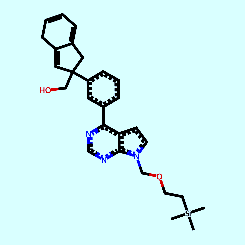 C[Si](C)(C)CCOCn1ccc2c(-c3cccc(C4(CO)C=C5CC=CC=C5C4)c3)ncnc21